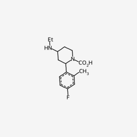 CCNC1CCN(C(=O)O)C(c2ccc(F)cc2C)C1